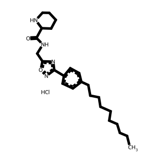 CCCCCCCCCCc1ccc(-c2noc(CNC(=O)C3CCCCN3)n2)cc1.Cl